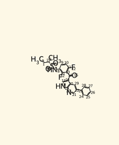 CCC(C)S(=O)(=O)Nc1ccc(F)c(C(=O)c2c[nH]c3ncc(-c4ccccc4)cc23)c1F